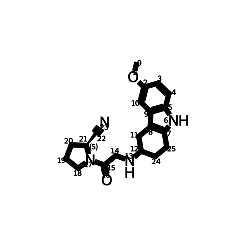 COc1ccc2[nH]c3c(c2c1)CC(NCC(=O)N1CCC[C@H]1C#N)CC3